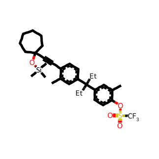 CCC(CC)(c1ccc(C#CC2(O[Si](C)(C)C)CCCCCC2)c(C)c1)c1ccc(OS(=O)(=O)C(F)(F)F)c(C)c1